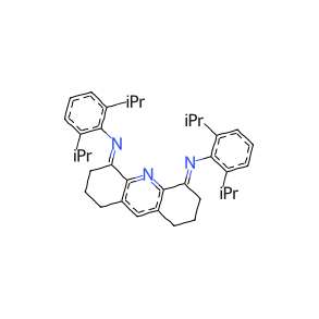 CC(C)c1cccc(C(C)C)c1N=C1CCCc2cc3c(nc21)C(=Nc1c(C(C)C)cccc1C(C)C)CCC3